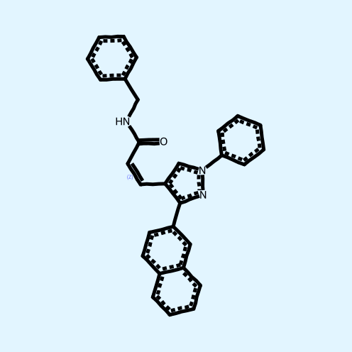 O=C(/C=C\c1cn(-c2ccccc2)nc1-c1ccc2ccccc2c1)NCc1ccccc1